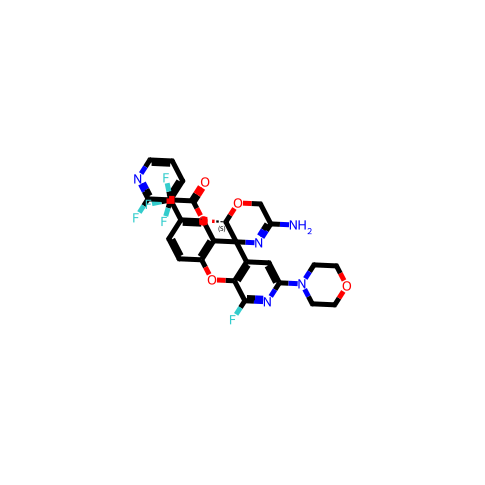 NC1=NC2(c3cc(-c4cccnc4F)ccc3Oc3c2cc(N2CCOCC2)nc3F)[C@H](OC(=O)C(F)(F)F)OC1